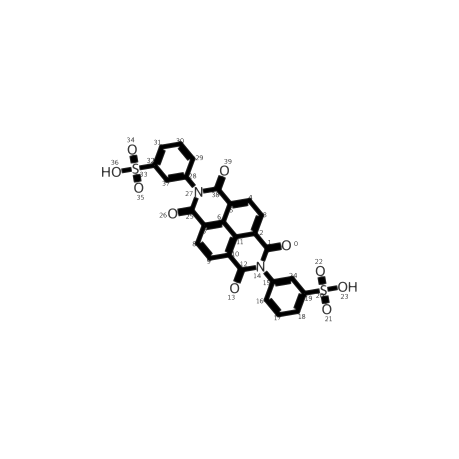 O=C1c2ccc3c4c(ccc(c24)C(=O)N1c1cccc(S(=O)(=O)O)c1)C(=O)N(c1cccc(S(=O)(=O)O)c1)C3=O